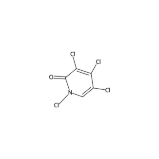 O=c1c(Cl)c(Cl)c(Cl)cn1Cl